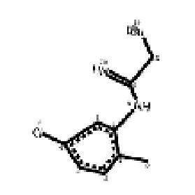 Cc1ccc(Cl)cc1NC(=N)CC(C)(C)C